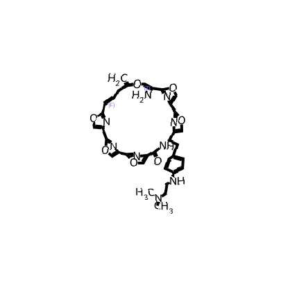 C=C1C/C=C/c2nc(co2)-c2nc(co2)-c2nc(co2)C(=O)NC(Cc2ccc(NCCN(C)C)cc2)c2coc(n2)-c2coc(n2)/C(N)=C/O1